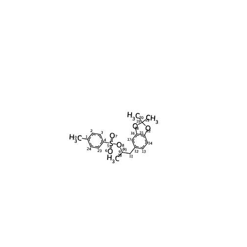 Cc1ccc(S(=O)(=O)O[C@H](C)Cc2ccc3c(c2)OC(C)(C)O3)cc1